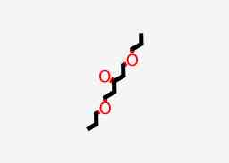 CCCOCCC(=O)CCOCCC